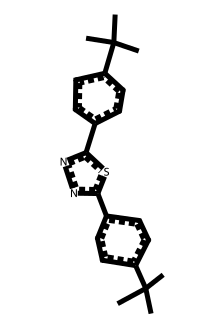 CC(C)(C)c1ccc(-c2nnc(-c3ccc(C(C)(C)C)cc3)s2)cc1